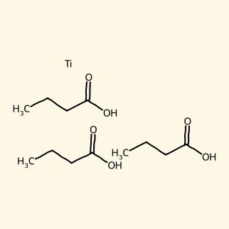 CCCC(=O)O.CCCC(=O)O.CCCC(=O)O.[Ti]